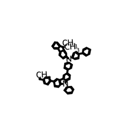 C=Cc1ccc(-c2ccc3c(c2)c2cc(-c4ccc(N(c5ccc(-c6ccccc6)cc5)c5ccc6c(c5)C(C)(C)c5ccccc5-6)cc4)ccc2n3-c2ccccc2)cc1